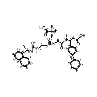 C[C@@H](NC(=O)NCCC(=O)NCC(=O)NC(CC(=O)O)c1ccc(-c2ccccc2)cc1)c1cccc2ccccc12.O=C(O)C(F)(F)F